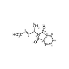 CC(C=CC(=O)O)N1C(=O)c2ccccc2C1=O